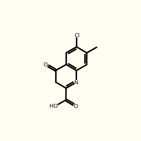 Cc1cc2c(cc1Cl)C(=O)CC(C(=O)O)=N2